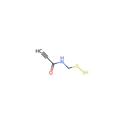 C#CC(=O)NCSS